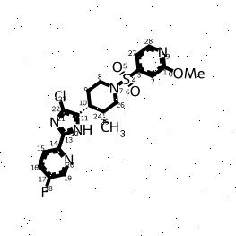 COc1cc(S(=O)(=O)N2CC[C@@H](c3[nH]c(-c4ccc(F)cn4)nc3Cl)[C@@H](C)C2)ccn1